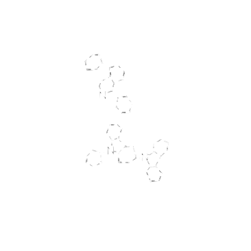 c1ccc(-n2c3ccc(-c4cccc(-c5ncc6c7c(cccc57)-c5ccccc5-6)c4)cc3c3cc(-n4c5ccccc5c5ccccc54)ccc32)cc1